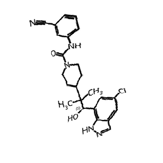 CC(C)(C1CCN(C(=O)Nc2cccc(C#N)c2)CC1)[C@H](O)c1cc(Cl)cc2cn[nH]c12